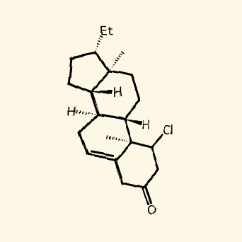 CC[C@H]1CC[C@H]2[C@@H]3CC=C4CC(=O)CC(Cl)[C@]4(C)[C@H]3CC[C@]12C